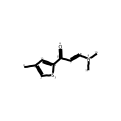 Cc1csc(C(=O)/C=C/N(C)C)c1